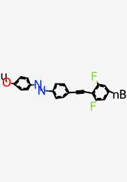 CCCCOc1ccc(N=Nc2ccc(C#Cc3c(F)cc(CCCC)cc3F)cc2)cc1